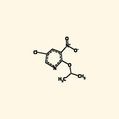 CC(C)Oc1ncc(Cl)cc1[N+](=O)[O-]